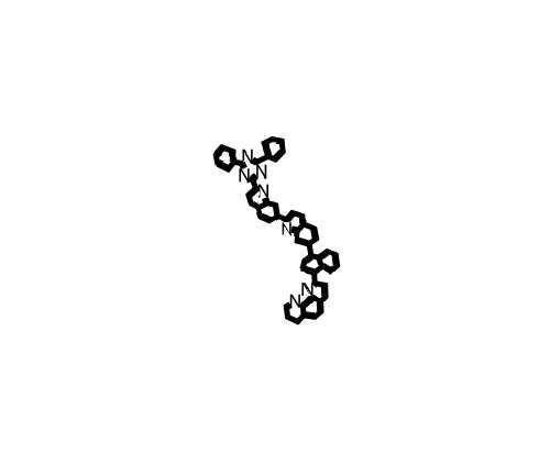 C1=CC(c2nc(-c3ccccc3)nc(-c3ccc4ccc(-c5ccc6ccc(-c7ccc(-c8ccc9ccc%10c(c9n8)N=CCC%10)c8ccccc78)cc6n5)cc4n3)n2)=CCC1